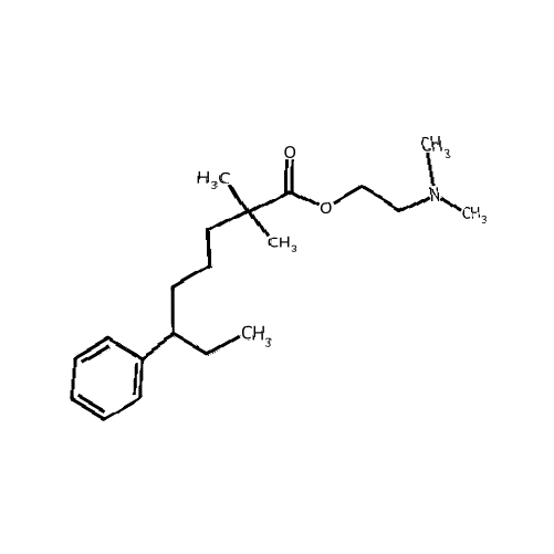 CCC(CCCC(C)(C)C(=O)OCCN(C)C)c1ccccc1